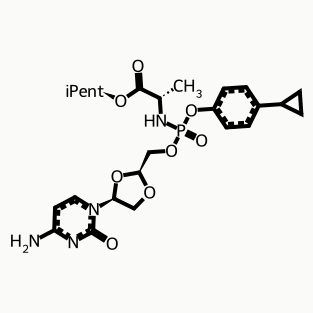 CCC[C@H](C)OC(=O)[C@H](C)NP(=O)(OC[C@H]1OC[C@@H](n2ccc(N)nc2=O)O1)Oc1ccc(C2CC2)cc1